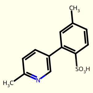 Cc1ccc(S(=O)(=O)O)c(-c2ccc(C)nc2)c1